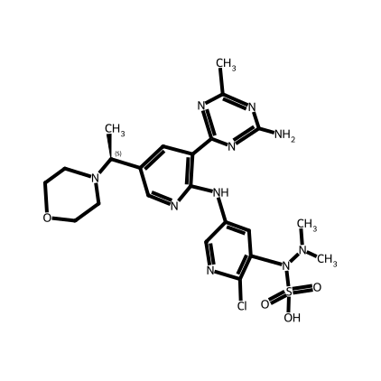 Cc1nc(N)nc(-c2cc([C@H](C)N3CCOCC3)cnc2Nc2cnc(Cl)c(N(N(C)C)S(=O)(=O)O)c2)n1